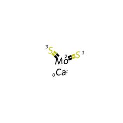 [Ca].[S]=[Mo]=[S]